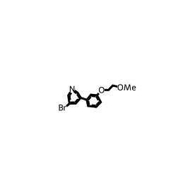 COCCOc1cccc(-c2cncc(Br)c2)c1